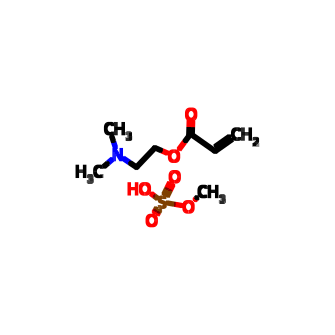 C=CC(=O)OCCN(C)C.COS(=O)(=O)O